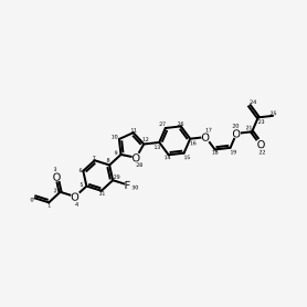 C=CC(=O)Oc1ccc(-c2ccc(-c3ccc(O/C=C\OC(=O)C(=C)C)cc3)o2)c(F)c1